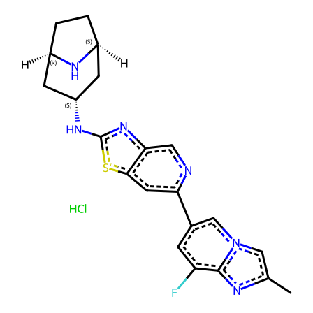 Cc1cn2cc(-c3cc4sc(N[C@@H]5C[C@H]6CC[C@@H](C5)N6)nc4cn3)cc(F)c2n1.Cl